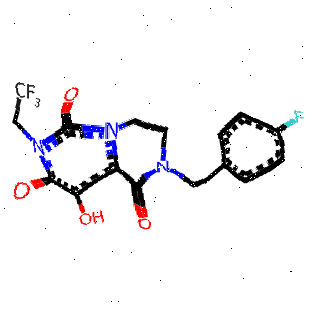 O=C1c2c(O)c(=O)n(CC(F)(F)F)c(=O)n2CCN1Cc1ccc(F)cc1